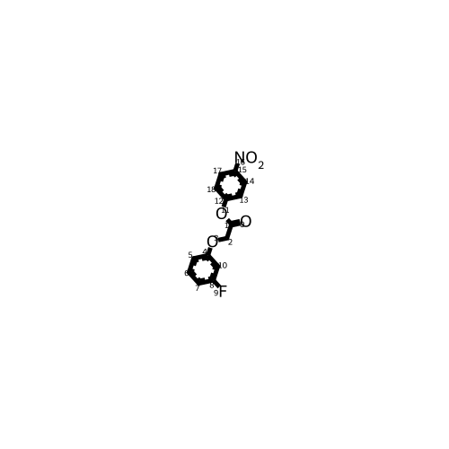 O=C(COc1cccc(F)c1)Oc1ccc([N+](=O)[O-])cc1